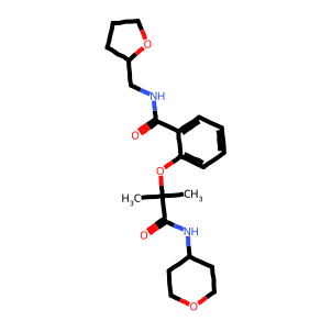 CC(C)(Oc1ccccc1C(=O)NCC1CCCO1)C(=O)NC1CCOCC1